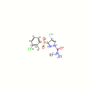 CCN(CC)C(=O)n1cc(F)c(S(=O)(=O)c2cccc(Cl)c2C)n1